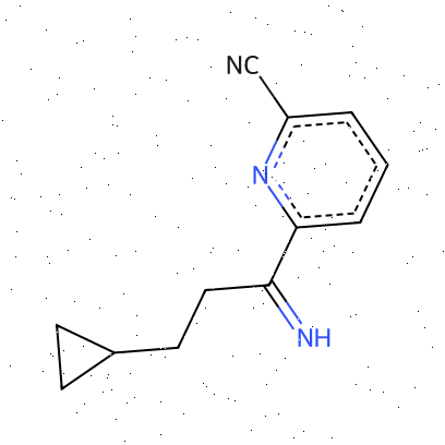 N#Cc1cccc(C(=N)CCC2CC2)n1